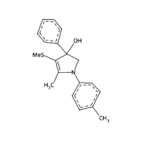 CSC1=C(C)N(c2ccc(C)cc2)CC1(O)c1ccccc1